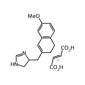 COc1ccc2c(c1)C=C(CC1CNC=N1)CC2.O=C(O)/C=C/C(=O)O